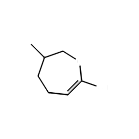 CC1CCC=C(O)OC1